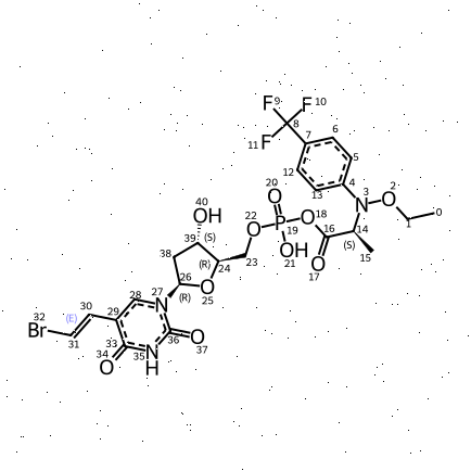 CCON(c1ccc(C(F)(F)F)cc1)[C@@H](C)C(=O)OP(=O)(O)OC[C@H]1O[C@@H](n2cc(/C=C/Br)c(=O)[nH]c2=O)C[C@@H]1O